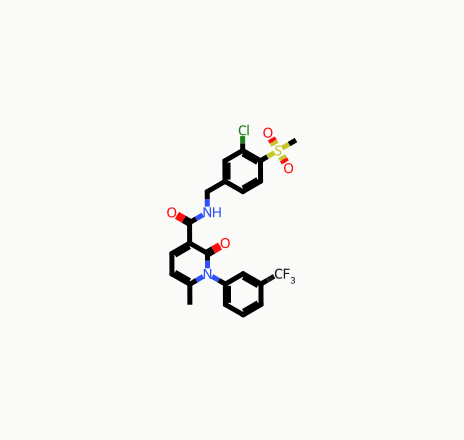 Cc1ccc(C(=O)NCc2ccc(S(C)(=O)=O)c(Cl)c2)c(=O)n1-c1cccc(C(F)(F)F)c1